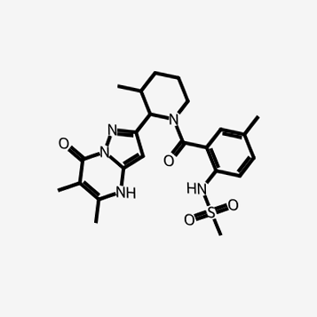 Cc1ccc(NS(C)(=O)=O)c(C(=O)N2CCCC(C)C2c2cc3[nH]c(C)c(C)c(=O)n3n2)c1